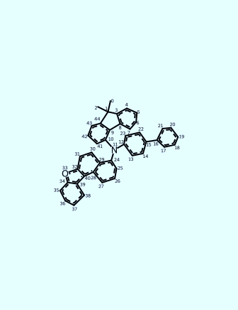 CC1(C)c2ccccc2-c2c(N(c3ccc(-c4ccccc4)cc3)c3cccc4c3ccc3oc5ccccc5c34)cccc21